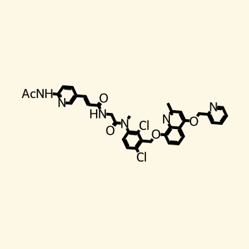 CC(=O)Nc1ccc(C=CC(=O)NCC(=O)N(C)c2ccc(Cl)c(COc3cccc4c(OCc5ccccn5)cc(C)nc34)c2Cl)cn1